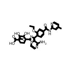 CCOc1cc(C(=O)Nc2cc(C)ccn2)ccc1-c1nc(C23CCC(C(=O)O)(CC2O)C(O)C3)n2ccnc(N)c12